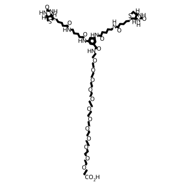 O=C(O)CCOCCOCCOCCOCCOCCOCCOCCOCCOCCOCCOCCOCCNC(=O)c1cc(NC(=O)CCCCNC(=O)CCCC[C@@H]2SC[C@@H]3NC(=O)N[C@@H]32)cc(NC(=O)CCCCNC(=O)CCCC[C@@H]2SC[C@@H]3NC(=O)N[C@@H]32)c1